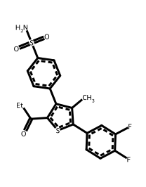 CCC(=O)c1sc(-c2ccc(F)c(F)c2)c(C)c1-c1ccc(S(N)(=O)=O)cc1